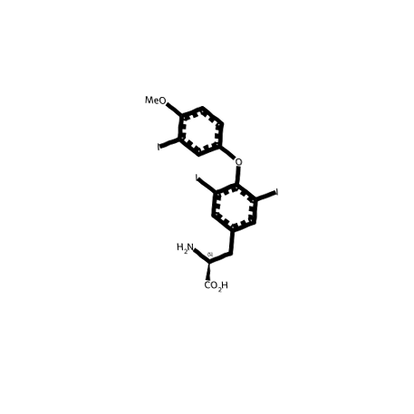 COc1ccc(Oc2c(I)cc(C[C@H](N)C(=O)O)cc2I)cc1I